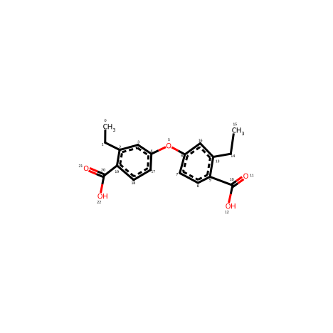 CCc1cc(Oc2ccc(C(=O)O)c(CC)c2)ccc1C(=O)O